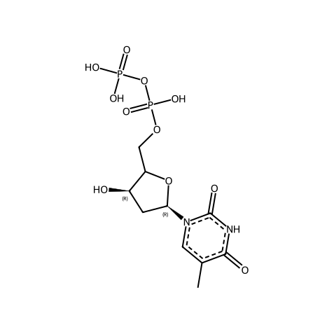 Cc1cn([C@H]2C[C@@H](O)C(COP(=O)(O)OP(=O)(O)O)O2)c(=O)[nH]c1=O